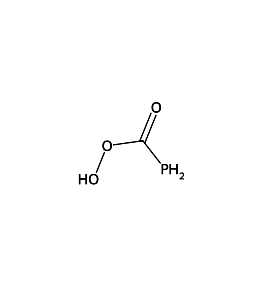 O=C(P)OO